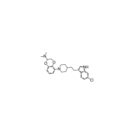 CN(C)C1COc2c(cccc2N2CCC(CCc3c[nH]c4cc(Cl)ccc34)CC2)O1